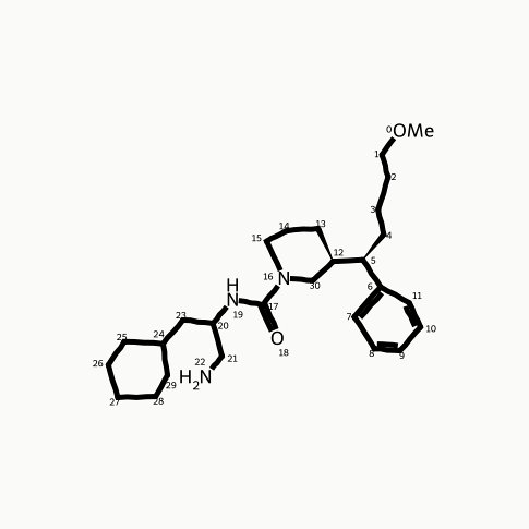 COCCCC[C@@H](c1ccccc1)[C@@H]1CCCN(C(=O)NC(CN)CC2CCCCC2)C1